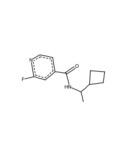 CC(NC(=O)c1ccnc(F)c1)C1CCC1